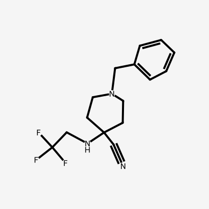 N#CC1(NCC(F)(F)F)CCN(Cc2ccccc2)CC1